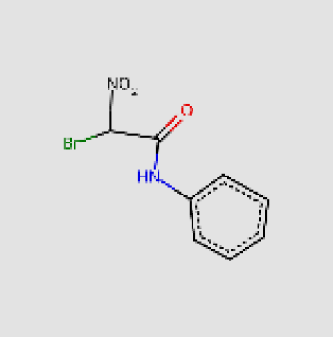 O=C(Nc1ccccc1)C(Br)[N+](=O)[O-]